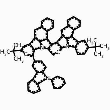 CC(C)(C)c1ccc2c(c1)c1c3ccccc3cc3c4c5c6c7ccccc7cc7c8cc(C(C)(C)C)cc(-c9ccc%10c(c9)c9ccccc9n%10-c9ccccc9)c8n(c5ccc4n2c31)c76